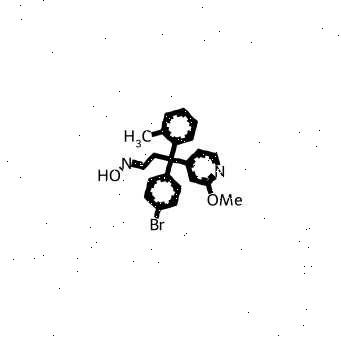 COc1cc(C(CC=NO)(c2ccc(Br)cc2)c2ccccc2C)ccn1